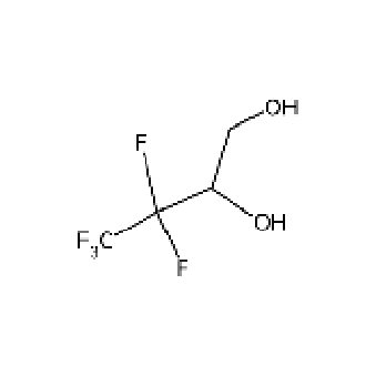 OCC(O)C(F)(F)C(F)(F)F